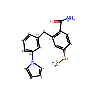 NC(=O)c1ccc(SC(F)(F)F)cc1Cc1cccc(-n2cccc2)c1